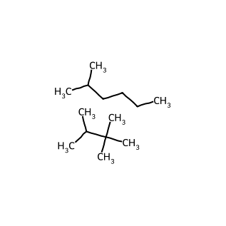 CC(C)C(C)(C)C.CCCCC(C)C